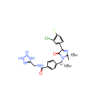 CCCC[C@H](c1ccc(C(=O)NCC2=NNNN2)cc1)N1C(=O)C(c2ccc(F)c(Cl)c2)=N[C@]1(C)C(C)(C)C